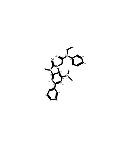 CCN(C(=O)Cn1c(=O)n(C)c2nc(-c3ccccc3)nc(N(C)C)c21)c1ccccc1